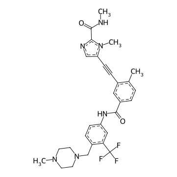 CNC(=O)c1ncc(C#Cc2cc(C(=O)Nc3ccc(CN4CCN(C)CC4)c(C(F)(F)F)c3)ccc2C)n1C